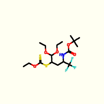 CCOC(=S)SC(CC(NC(=O)OC(C)(C)C)C(F)(F)F)C(OCC)OCC